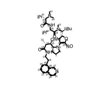 CC[C@H](C)C([C@H]1CC(N2CCC[C@H]2[C@H](OC)[C@@H](C)C(=O)NCCc2cccc3ccncc23)=C(N=O)O1)N(C)C(=O)[C@@H](NC(=O)[C@H](C(C)C)N(C)C)C(C)C